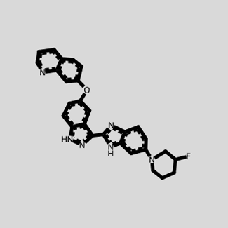 FC1CCCN(c2ccc3nc(-c4n[nH]c5ccc(Oc6ccc7cccnc7c6)cc45)[nH]c3c2)C1